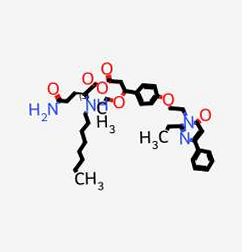 CCCCCCCCN[C@@H](CCC(N)=O)C(=O)OC(=O)CC(OCC)c1ccc(OCCn2c(CC)nc(-c3ccccc3)cc2=O)cc1